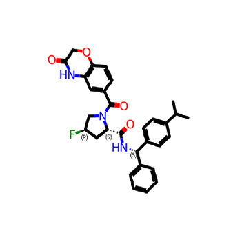 CC(C)c1ccc([C@@H](NC(=O)[C@@H]2C[C@@H](F)CN2C(=O)c2ccc3c(c2)NC(=O)CO3)c2ccccc2)cc1